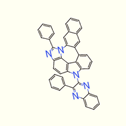 c1ccc(-c2nc3ccccc3nc2-n2c3cccc4c5cc6ccccc6cc5n5c(-c6ccccc6)nc6ccc2c(c43)c65)cc1